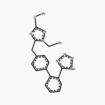 CCCOc1nc(Cc2ccc(-c3ccccc3-c3nnn[nH]3)cc2)n(CC(C)C)n1